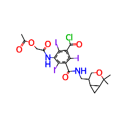 CC(=O)OCC(=O)Nc1c(I)c(C(=O)Cl)c(I)c(C(=O)NCC2COC(C)(C)C3CC23)c1I